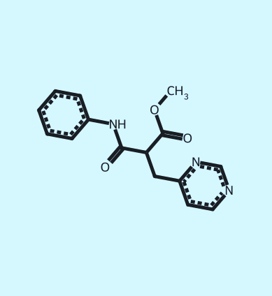 COC(=O)C(Cc1ccncn1)C(=O)Nc1ccccc1